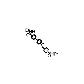 CCNC(=O)c1ccc(-c2ccc(OCC3CCN(C(=O)OC(C)C)CC3)cc2)cc1